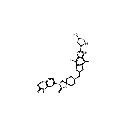 O=C1COc2ncc(N3CC4(CCN(CC5Cc6c(c(F)c7[nH]c([C@H]8C[C@@H](O)CN8)nc7c6F)C5)CC4)OC3=O)nc2N1